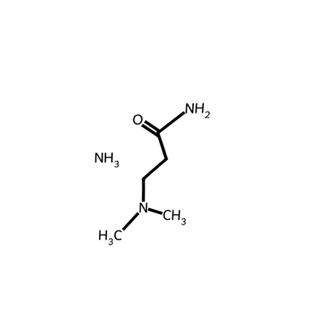 CN(C)CCC(N)=O.N